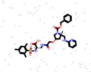 Cc1cc(C)c(S(=O)(=O)N[C@@H](CNC(=O)CO[C@H]2CN(C(=O)OCc3ccccc3)[C@](C)(CNc3ccccn3)C2)C(=O)O)c(C)c1